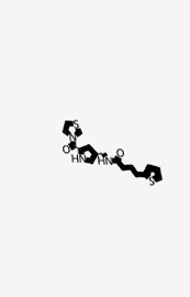 O=C(CCCc1cccs1)NC[C@@H]1CN[C@H](C(=O)N2CCSC2)C1